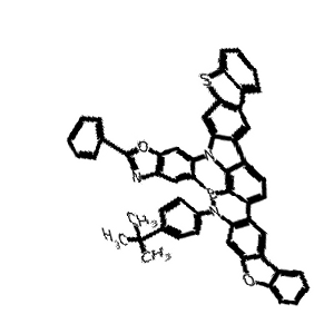 CC(C)(C)c1ccc(N2B3c4cc5nc(-c6ccccc6)oc5cc4-n4c5cc6sc7ccccc7c6cc5c5ccc(c3c54)-c3cc4c(cc32)oc2ccccc24)cc1